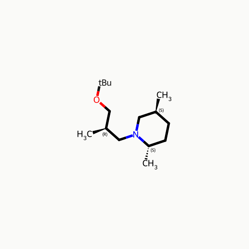 C[C@H]1CC[C@H](C)N(C[C@@H](C)COC(C)(C)C)C1